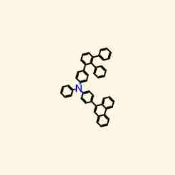 c1ccc(-c2cccc(-c3ccc(N(c4ccccc4)c4ccc(-c5cc6ccccc6c6ccccc56)cc4)cc3)c2-c2ccccc2)cc1